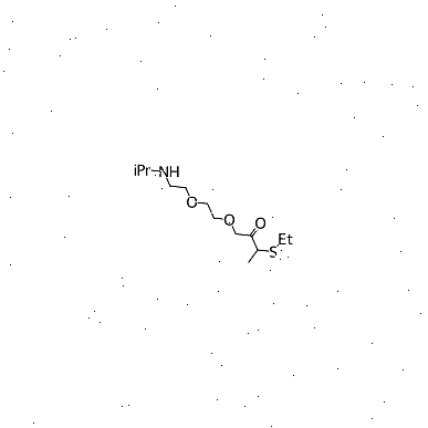 CCSC(C)C(=O)COCCOCCNC(C)C